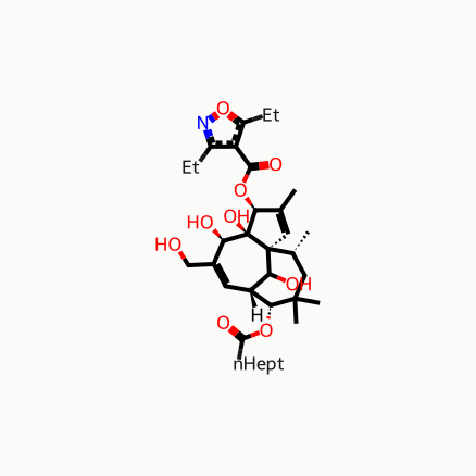 CCCCCCCC(=O)O[C@@H]1[C@@H]2C=C(CO)[C@@H](O)[C@]3(O)[C@@H](OC(=O)c4c(CC)noc4CC)C(C)=C[C@@]3(C2O)[C@H](C)CC1(C)C